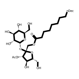 CCCCCCCCCCCCCCCCCC(=O)OC[C@@]1(O[C@H]2O[C@H](CO)[C@@H](O)[C@H](O)[C@H]2O)O[C@H](CO)[C@@H](O)[C@@H]1OC(C)=O